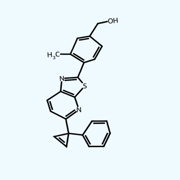 Cc1cc(CO)ccc1-c1nc2ccc(C3(c4ccccc4)C=C3)nc2s1